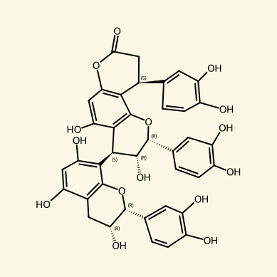 O=C1C[C@@H](c2ccc(O)c(O)c2)c2c(cc(O)c3c2O[C@H](c2ccc(O)c(O)c2)[C@H](O)[C@H]3c2c(O)cc(O)c3c2O[C@H](c2ccc(O)c(O)c2)[C@H](O)C3)O1